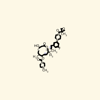 C/C(=C\c1cc(F)cc(N2CCN(C(=O)C3(C)COC3)CC2)c1)[C@H]1OC(=O)C[C@H](O)CC[C@H](C)[C@H](OC(=O)N2CCN(C)CC2)/C=C/[C@@H]1C